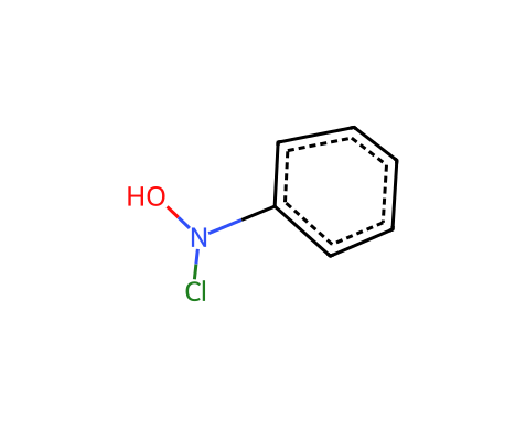 ON(Cl)c1ccccc1